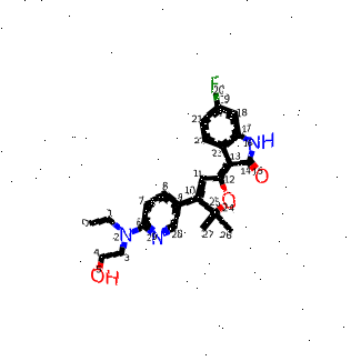 CCN(CCO)c1ccc(C2=CC(=C3C(=O)Nc4cc(F)ccc43)OC2(C)C)cn1